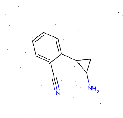 N#Cc1ccccc1C1CC1N